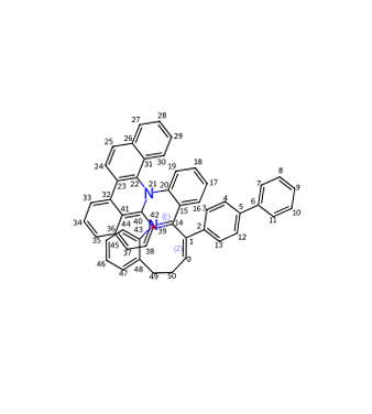 C1=C(c2ccc(-c3ccccc3)cc2)\C(c2ccccc2N2c3c(ccc4ccccc34)-c3cccc4cccc2c34)=N/c2ccccc2CC/1